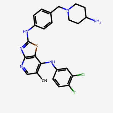 N#Cc1cnc2nc(Nc3ccc(CN4CCC(N)CC4)cc3)sc2c1Nc1ccc(F)c(Cl)c1